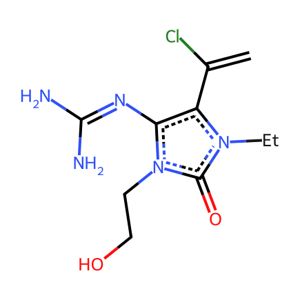 C=C(Cl)c1c(N=C(N)N)n(CCO)c(=O)n1CC